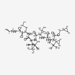 C=CCNC(=O)C(=O)C(CCC)NC(=O)[C@@H]1[C@@H]2[C@H](CN1C(=O)[C@@H](NC(=O)N[C@H](C(=O)OCC1CC1)C1(C(F)(F)F)CC1)C(C)(C)C)C2(C)C